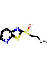 CC(=O)OCC[S+]([O-])c1nc2cccnc2s1